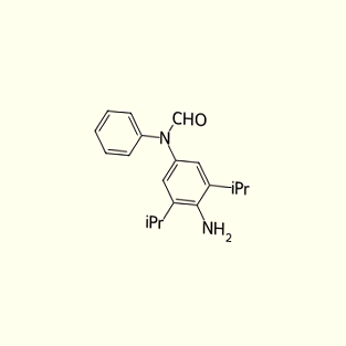 CC(C)c1cc(N(C=O)c2ccccc2)cc(C(C)C)c1N